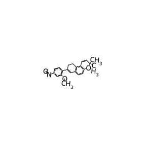 COc1cc(N=O)ccc1C1=Cc2ccc3c(c2CC1)C=CC(C)(C)O3